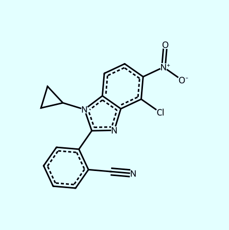 N#Cc1ccccc1-c1nc2c(Cl)c([N+](=O)[O-])ccc2n1C1CC1